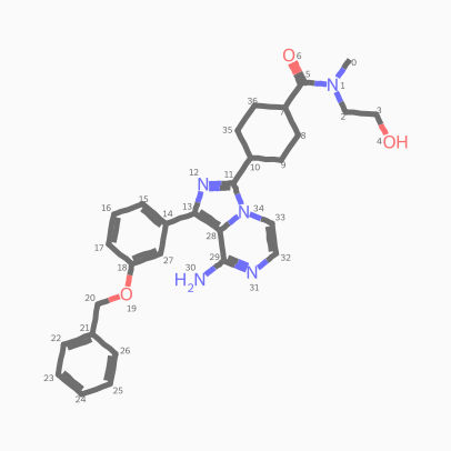 CN(CCO)C(=O)C1CCC(c2nc(-c3cccc(OCc4ccccc4)c3)c3c(N)nccn23)CC1